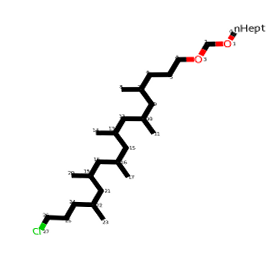 CCCCCCCOCOCCCC(C)CC(C)CC(C)CC(C)CC(C)CC(C)CCCCl